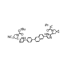 CC(C)[C@H](C)C(=O)N1CC2(CC2)C[C@H]1c1ncc(-c2ccc3cc(-c4ccc(-c5cnc([C@@H]6C[C@H](C#N)CN6C(=O)OC(C)(C)C)[nH]5)cc4)ccc3c2)[nH]1